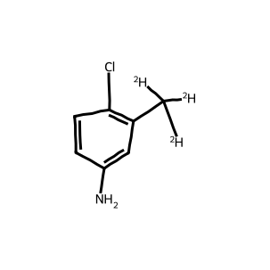 [2H]C([2H])([2H])c1cc(N)ccc1Cl